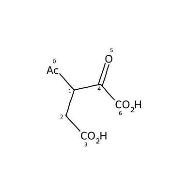 CC(=O)C(CC(=O)O)C(=O)C(=O)O